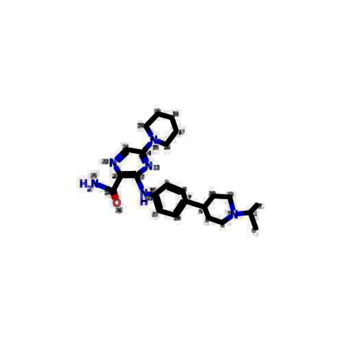 CC(C)N1CCC(c2ccc(Nc3nc(N4CCCCC4)cnc3C(N)=O)cc2)CC1